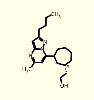 CCCCc1cc2nc(C)cc(C3CCCC[C@H](CCO)C3)n2n1